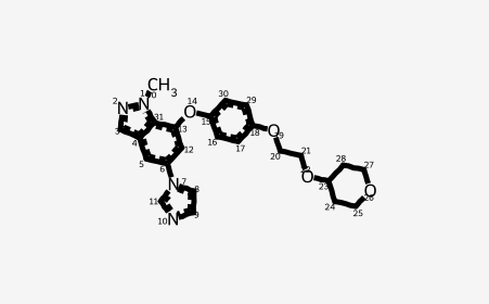 Cn1ncc2cc(-n3ccnc3)cc(Oc3ccc(OCCOC4CCOCC4)cc3)c21